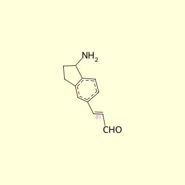 NC1CCc2cc(/C=C/C=O)ccc21